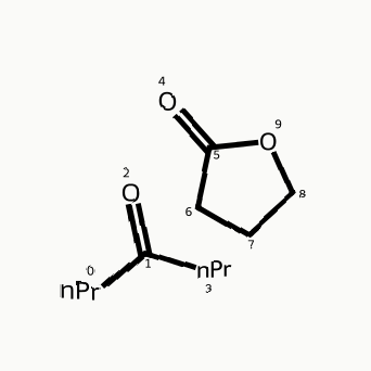 CCCC(=O)CCC.O=C1CCCO1